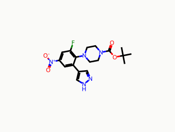 CC(C)(C)OC(=O)N1CCN(c2c(F)cc([N+](=O)[O-])cc2-c2cn[nH]c2)CC1